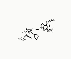 CCOC(=O)[C@@H](C)NP(=O)(COCCn1cnc2c(OC)nc(N)nc21)OCc1ccccc1